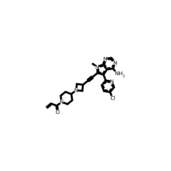 C=CC(=O)N1CCC(N2CC(C#Cc3c(-c4ccc(Cl)cn4)c4c(N)ncnc4n3C)C2)CC1